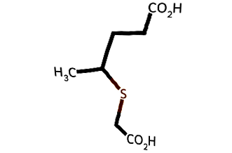 CC(CCC(=O)O)SCC(=O)O